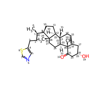 C[C@H](CCc1cncs1)[C@H]1CC[C@H]2[C@@H]3CC=C4C[C@H](O)CC(=O)[C@]4(C)[C@H]3CC[C@]12C